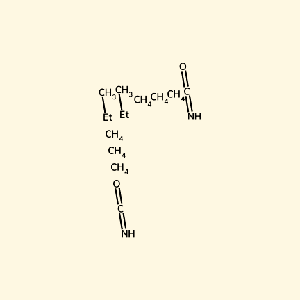 C.C.C.C.C.C.CCC.CCC.N=C=O.N=C=O